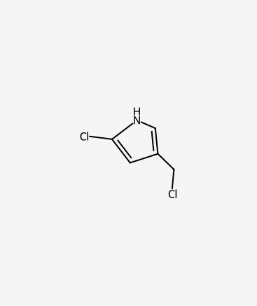 ClCc1c[nH]c(Cl)c1